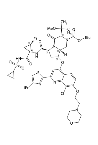 CC[C@@H]1C[C@]1(NC(=O)[C@@H]1C[C@@H](Oc2cc(-c3nc(C(C)C)cs3)nc3c(Cl)c(OCCN4CCOCC4)ccc23)[C@H]2CN(C(=O)OC(C)(C)C)[C@H](C(C)(C)OC)C(=O)N21)C(=O)NS(=O)(=O)C1CC1